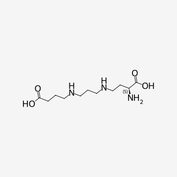 N[C@@H](CCNCCCNCCCC(=O)O)C(=O)O